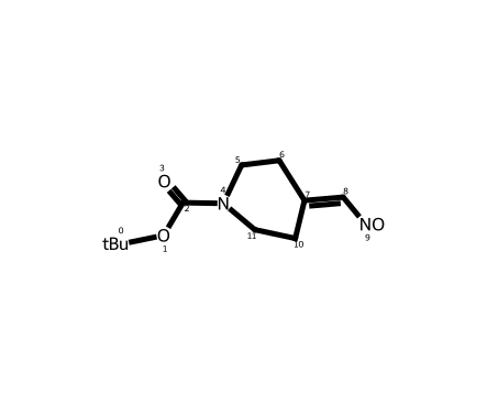 CC(C)(C)OC(=O)N1CCC(=CN=O)CC1